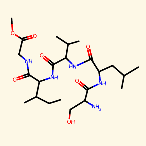 CCC(C)C(NC(=O)C(NC(=O)C(CC(C)C)NC(=O)C(N)CO)C(C)C)C(=O)NCC(=O)OC